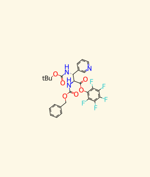 CC(C)(C)OC(=O)N[C@H](c1cccnc1)[C@H](NC(=O)OCc1ccccc1)C(=O)Oc1c(F)c(F)c(F)c(F)c1F